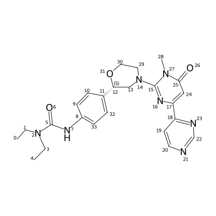 CCN(CC)C(=O)Nc1ccc([C@H]2CN(c3nc(-c4ccncn4)cc(=O)n3C)CCO2)cc1